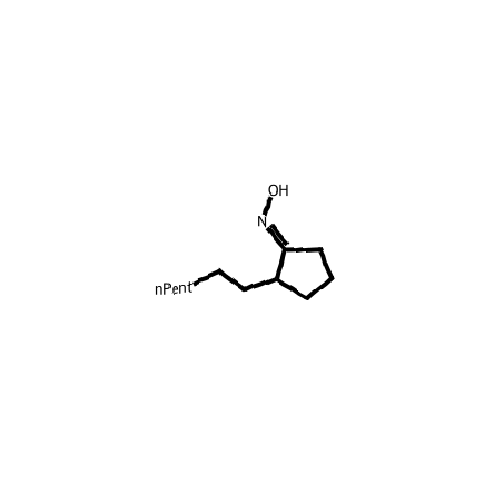 CCCCCCCC1CCCC1=NO